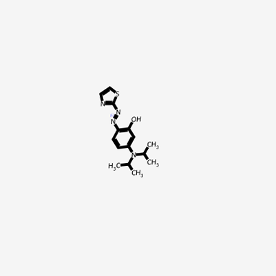 CC(C)N(c1ccc(/N=N/c2nccs2)c(O)c1)C(C)C